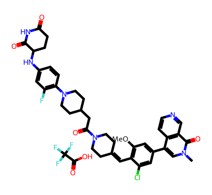 COc1cc(-c2cn(C)c(=O)c3cnccc23)cc(Cl)c1C=C1CCN(C(=O)CC2CCN(c3ccc(NC4CCC(=O)NC4=O)cc3F)CC2)CC1.O=C(O)C(F)(F)F